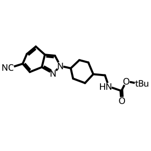 CC(C)(C)OC(=O)NCC1CCC(n2cc3ccc(C#N)cc3n2)CC1